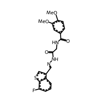 COc1ccc(C(=O)NCC(=O)N/N=C/c2csc3c(F)cccc23)cc1OC